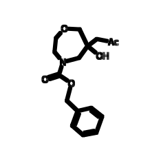 CC(=O)CC1(O)COCCN(C(=O)OCc2ccccc2)C1